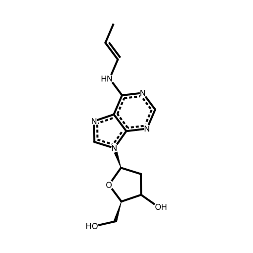 CC=CNc1ncnc2c1ncn2[C@H]1CC(O)[C@@H](CO)O1